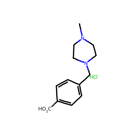 CN1CCN(Cc2ccc(C(=O)O)cc2)CC1.Cl